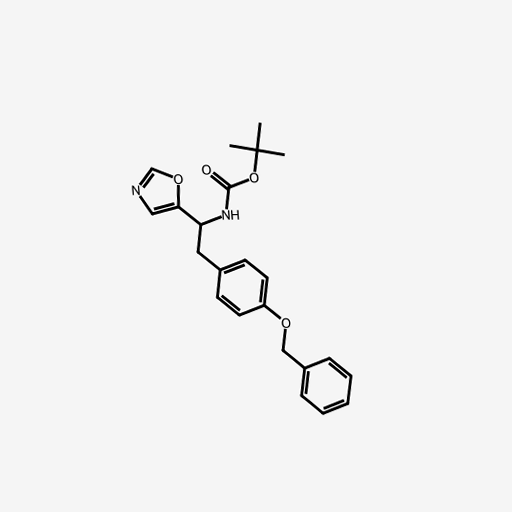 CC(C)(C)OC(=O)NC(Cc1ccc(OCc2ccccc2)cc1)c1cnco1